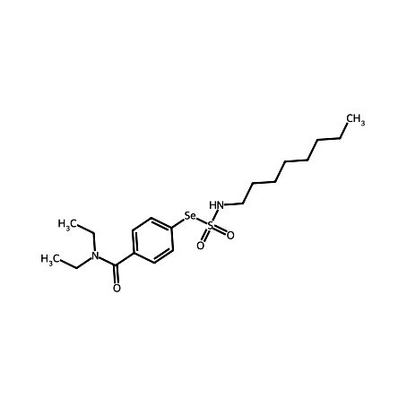 CCCCCCCCNS(=O)(=O)[Se]c1ccc(C(=O)N(CC)CC)cc1